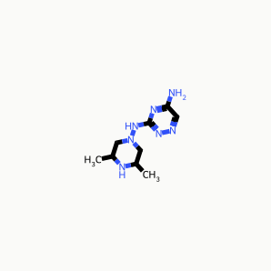 CC1CN(Nc2nncc(N)n2)CC(C)N1